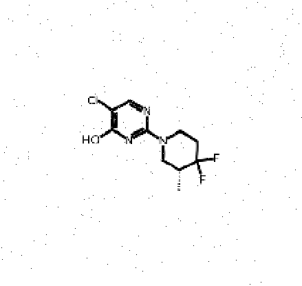 C[C@@H]1CN(c2ncc(Cl)c(O)n2)CCC1(F)F